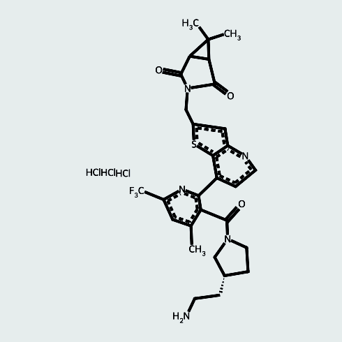 Cc1cc(C(F)(F)F)nc(-c2ccnc3cc(CN4C(=O)C5C(C4=O)C5(C)C)sc23)c1C(=O)N1CC[C@H](CCN)C1.Cl.Cl.Cl